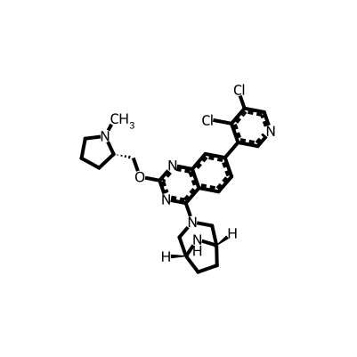 CN1CCC[C@H]1COc1nc(N2C[C@H]3CC[C@@H](C2)N3)c2ccc(-c3cncc(Cl)c3Cl)cc2n1